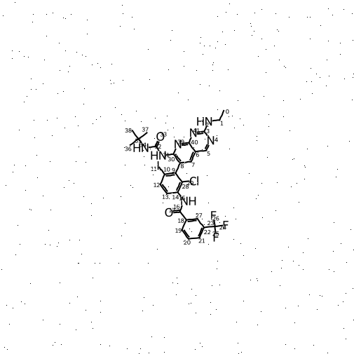 CCNc1ncc2cc(-c3c(I)ccc(NC(=O)c4cccc(C(F)(F)F)c4)c3Cl)c(NC(=O)NC(C)(C)C)nc2n1